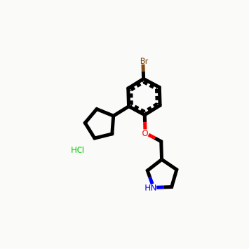 Brc1ccc(OCC2CCNC2)c(C2CCCC2)c1.Cl